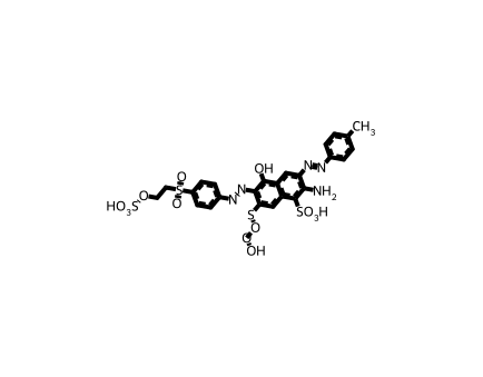 Cc1ccc(N=Nc2cc3c(O)c(N=Nc4ccc(S(=O)(=O)CCOS(=O)(=O)O)cc4)c(SOOO)cc3c(S(=O)(=O)O)c2N)cc1